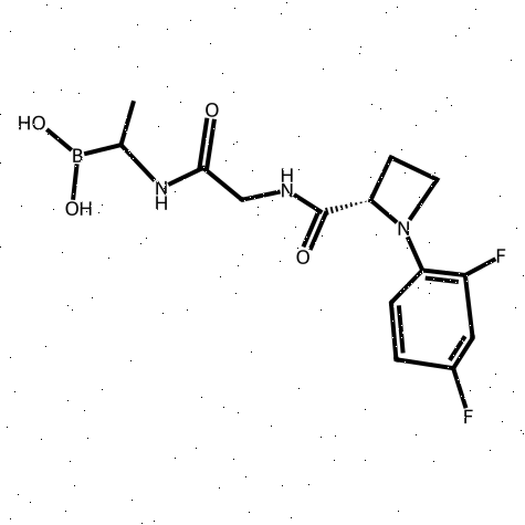 CC(NC(=O)CNC(=O)[C@@H]1CCN1c1ccc(F)cc1F)B(O)O